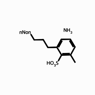 CCCCCCCCCCCCc1cccc(C)c1S(=O)(=O)O.N